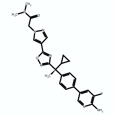 CN(C)C(=O)Cn1cc(-c2nc([C@@](C)(c3ccc(-c4cnc(N)c(F)c4)cc3)C3CC3)no2)cn1